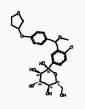 COC(c1ccc(OC2CCOC2)cc1)c1cc([C@]2(O)O[C@H](CO)[C@@H](O)[C@H](O)[C@H]2O)ccc1Cl